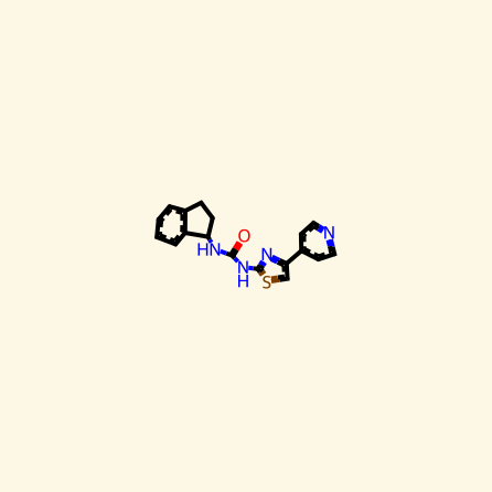 O=C(Nc1nc(-c2ccncc2)cs1)NC1CCc2ccccc21